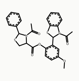 COc1ccc(OC(=O)C2CSC(c3ccccc3)N2C(C)=O)c(C2Sc3ccccc3N2C(C)=O)c1